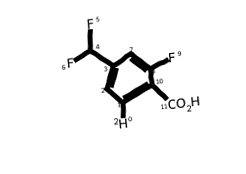 [2H]c1cc(C(F)F)cc(F)c1C(=O)O